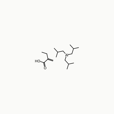 C=C(CC)C(=O)O.CC(C)[CH2][Al]([CH2]C(C)C)[CH2]C(C)C